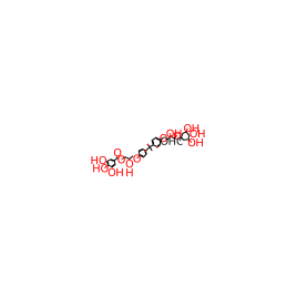 CC(C)(c1ccc(OCC(O)COC(=O)c2cc(O)c(O)c(O)c2)cc1)c1ccc(OCC(O)COC2(C=O)CC(O)C(O)C(O)C2)cc1